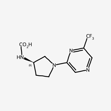 O=C(O)N[C@@H]1CCN(c2cncc(C(F)(F)F)n2)C1